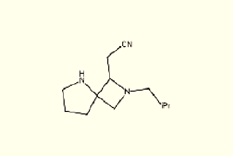 CC(C)CN1CC2(CCCN2)C1CC#N